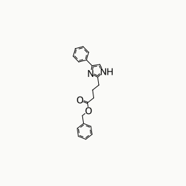 O=C(CCCc1nc(-c2ccccc2)c[nH]1)OCc1ccccc1